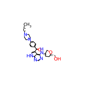 CCCCN1CCN(c2ccc(C(=O)c3c[nH]c4ncnc(N[C@H]5CC[C@@H](CO)OC5)c34)cc2)CC1